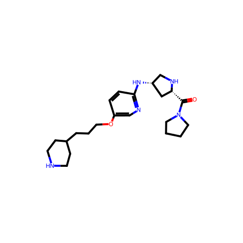 O=C([C@@H]1C[C@H](Nc2ccc(OCCCC3CCNCC3)cn2)CN1)N1CCCC1